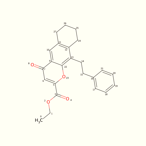 CCOC(=O)c1cc(=O)c2cc3c(c(CCc4ccccc4)c2o1)CCCC3